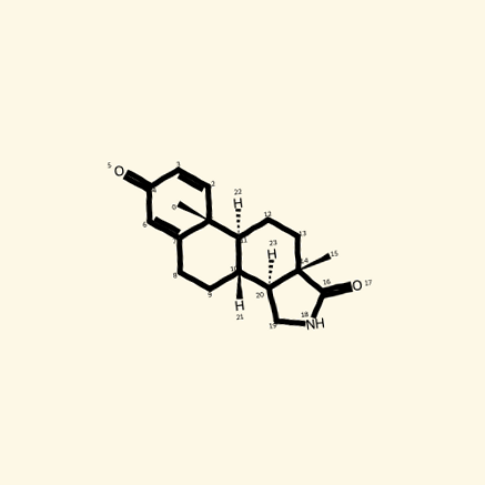 C[C@]12C=CC(=O)C=C1CC[C@@H]1[C@@H]2CC[C@]2(C)C(=O)NC[C@@H]12